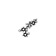 O=C(CNc1ccc(Cl)cc1Cc1ccccc1Cl)NS(=O)(=O)c1ccc2c(c1)OCO2